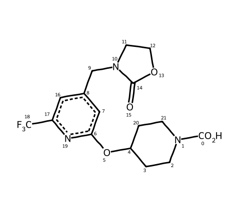 O=C(O)N1CCC(Oc2cc(CN3CCOC3=O)cc(C(F)(F)F)n2)CC1